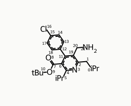 CC(C)Cc1nc(C(C)C)c(C(=O)OC(C)(C)C)c(-c2ccc(Cl)cc2)c1CN